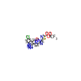 O=C(OC(=O)C(F)(F)F)c1cnc(-c2cnc([C@@H]3CCc4cc(-c5cc(Cl)ccc5-n5cnnn5)cc(=O)n43)[nH]2)s1